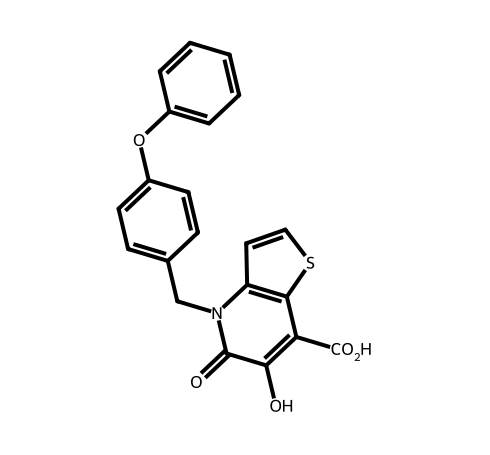 O=C(O)c1c(O)c(=O)n(Cc2ccc(Oc3ccccc3)cc2)c2ccsc12